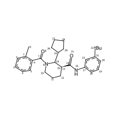 Cc1ccccc1C(=O)N1CCC[C@H](C(=O)Nc2cccc(C(C)(C)C)c2)C1C1CCCC1